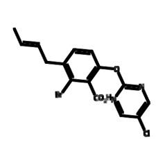 CC=CCc1ccc(Oc2ncc(Cl)cn2)c(C(=O)O)c1Br